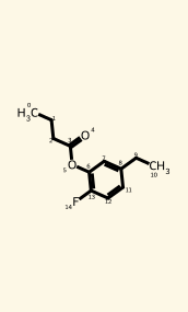 CCCC(=O)Oc1cc(CC)ccc1F